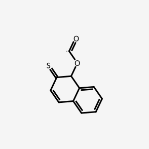 O=[C]OC1C(=S)C=Cc2ccccc21